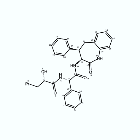 CC(C)C[C@H](O)C(=O)N[C@H](C(=O)N[C@@H]1C(=O)Nc2ccccc2C[C@@H]1c1ccccc1)c1ccccc1